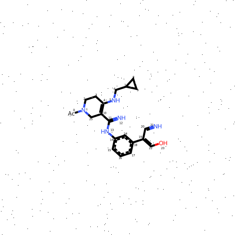 CC(=O)N1CCC(NCC2CC2)=C(C(=N)Nc2cccc(/C(C=N)=C/O)c2)C1